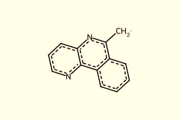 [CH2]c1nc2cccnc2c2ccccc12